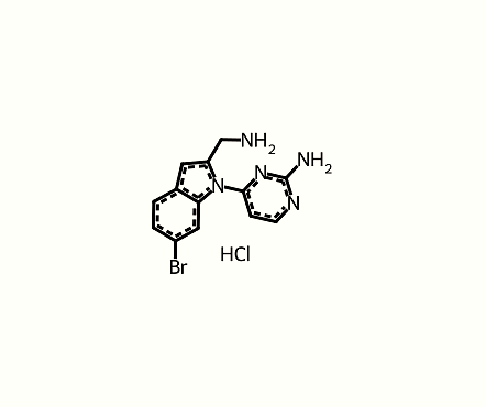 Cl.NCc1cc2ccc(Br)cc2n1-c1ccnc(N)n1